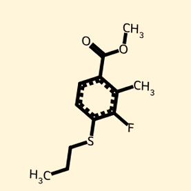 CCCSc1ccc(C(=O)OC)c(C)c1F